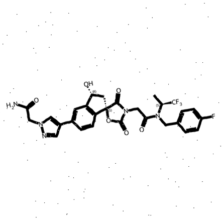 C[C@H](N(Cc1ccc(F)cc1)C(=O)CN1C(=O)O[C@]2(C[C@@H](O)c3cc(-c4cnn(CC(N)=O)c4)ccc32)C1=O)C(F)(F)F